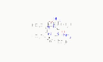 C/C1=C2N=C(/C=C3N=C(/C(C)=C4\[N-][C@@](C)([C@@H]5N=C1[C@](C)(CCC(=O)O)[C@H]5CC(=O)O)[C@@](C)(CC(N)=O)[C@@H]4CCC(=O)O)[C@@](C)(CC(N)=O)[C@@H]\3CCC(=O)O)C(C)(C)[C@@H]/2CCC(=O)O.[Co+2]